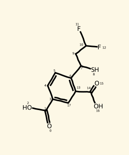 O=C(O)c1ccc(C(S)CC(F)F)c(C(=O)O)c1